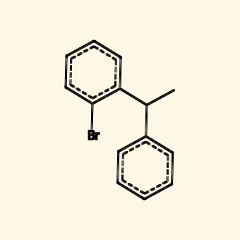 CC(c1ccccc1)c1ccccc1Br